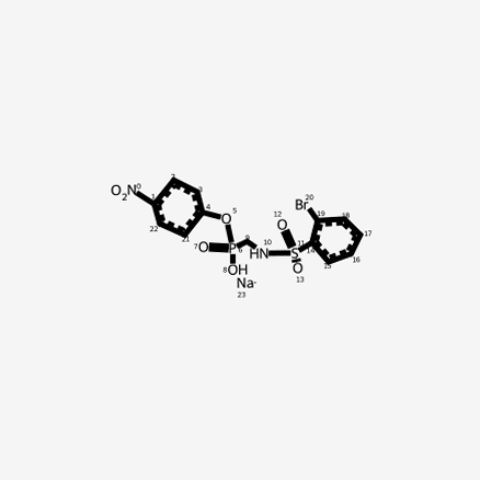 O=[N+]([O-])c1ccc(OP(=O)(O)CNS(=O)(=O)c2ccccc2Br)cc1.[Na]